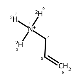 [2H][N+]([2H])([2H])CC=C